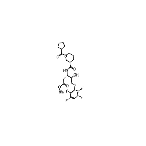 CC(C)(C)OC(=O)C[C@H](NC(=O)[C@@H]1CCCN(C(=O)C2CCCC2)C1)C(O)COc1c(F)c(F)cc(F)c1F